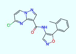 Cc1ccccc1-c1oncc1NC(=O)c1cnn2ccc(Cl)nc12